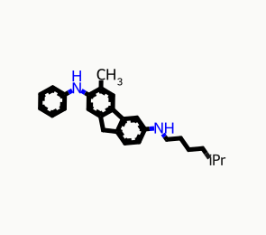 Cc1cc2c(cc1Nc1ccccc1)Cc1ccc(NCCCCC(C)C)cc1-2